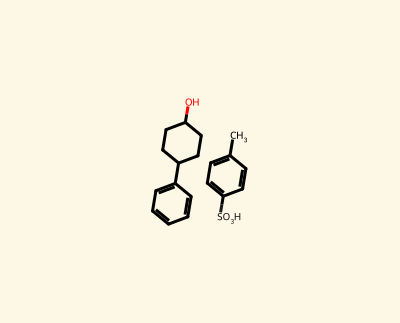 Cc1ccc(S(=O)(=O)O)cc1.OC1CCC(c2ccccc2)CC1